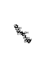 C=N/C(=N\C(=C(/C)Cl)c1cc2c(s1)CN(CC(=O)N[C@H](CO)c1cccc(C)c1)C2O)NC1CCOCC1